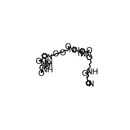 O=C(/C=C/c1cccnc1)NCCCCC1CCN(C(=O)c2ccc(N3CCN(C(=O)CCOCCOCCNc4cccc5c4C(=O)N(C4CCC(=O)NC4=O)C5=O)CC3)nn2)CC1